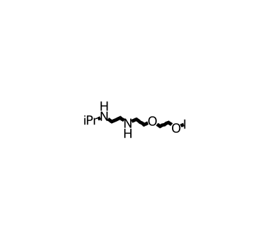 CC(C)NCCNCCOCCOI